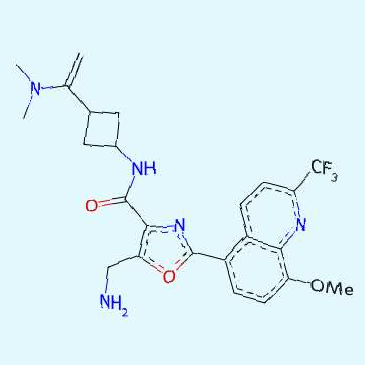 C=C(C1CC(NC(=O)c2nc(-c3ccc(OC)c4nc(C(F)(F)F)ccc34)oc2CN)C1)N(C)C